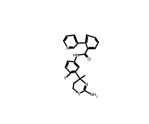 CC1(c2cc(NC(=O)c3ccccc3-c3cccnc3)ccc2F)CCSC(N)=N1